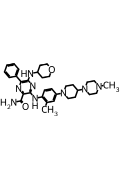 Cc1cc(N2CCC(N3CCN(C)CC3)CC2)ccc1Nc1nc(NC2CCOCC2)c(-c2ccccc2)nc1C(N)=O